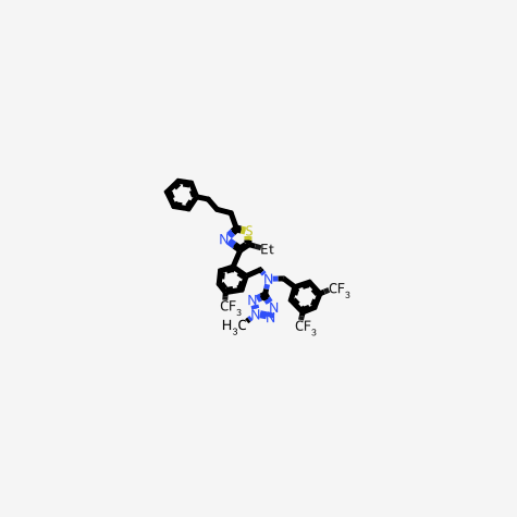 CCc1sc(CCCc2ccccc2)nc1-c1ccc(C(F)(F)F)cc1CN(Cc1cc(C(F)(F)F)cc(C(F)(F)F)c1)c1nnn(C)n1